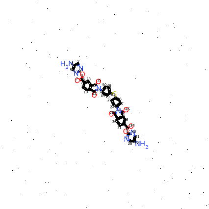 Nc1cnc(OC(=O)c2ccc3c(c2)C(=O)N(c2ccc(Sc4ccc(N5C(=O)c6ccc(C(=O)Oc7ncc(N)cn7)cc6C5=O)cc4)cc2)C3=O)nc1